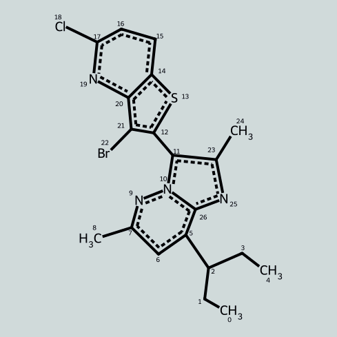 CCC(CC)c1cc(C)nn2c(-c3sc4ccc(Cl)nc4c3Br)c(C)nc12